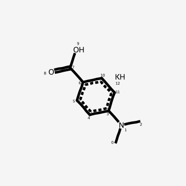 CN(C)c1ccc(C(=O)O)cc1.[KH]